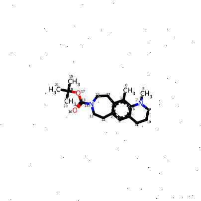 Cc1c2c(cc3c1N(C)CCC3)CCN(C(=O)OC(C)(C)C)CC2